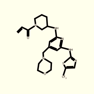 C=CC(=O)N1CCCC(Nc2cc(CN3CCOCC3)cc(Nc3ncc(C(F)(F)F)s3)n2)C1